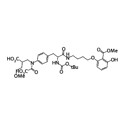 COCCC(CN(C(=O)C(=O)O)c1ccc(CC(NC(=O)OC(C)(C)C)C(=O)NCCCCOc2cccc(O)c2C(=O)OC)cc1)C(=O)O